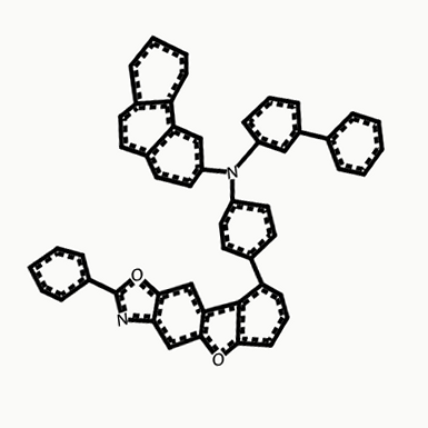 c1ccc(-c2cccc(N(c3ccc(-c4cccc5oc6cc7nc(-c8ccccc8)oc7cc6c45)cc3)c3ccc4ccc5ccccc5c4c3)c2)cc1